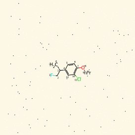 [CH2]C(CF)c1ccc(OCCC)c(Cl)c1